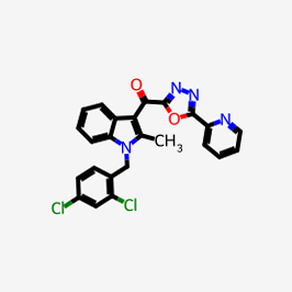 Cc1c(C(=O)c2nnc(-c3ccccn3)o2)c2ccccc2n1Cc1ccc(Cl)cc1Cl